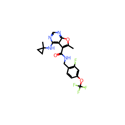 Cc1oc2ncnc(NC3(C)CC3)c2c1C(=O)NCc1ccc(OC(F)(F)F)cc1F